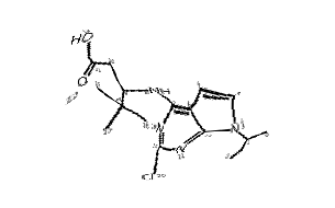 CC(C)n1ccc2c(NC(CC(=O)O)C(C)(C)C)nc(Cl)nc21